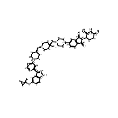 CC1(Oc2ccc3[nH]nc(-c4cc(N5CCC(CN6CCC(F)(CN7CCN(c8ccc9c(c8)C(=O)N(C8CCC(=O)NC8=O)C9=O)CC7)CC6)CC5)ncn4)c3c2)CC1